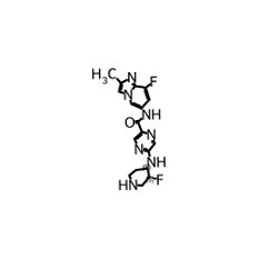 Cc1cn2cc(NC(=O)c3cnc(N[C@@H]4CCNC[C@@H]4F)cn3)cc(F)c2n1